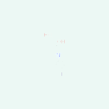 OCCC1(O)CCN(c2ccc(I)cc2)CC1